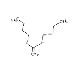 C=C([CH]CCCC)CCCCC